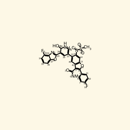 CNC(=O)c1c(-c2ccc(F)cc2)oc2cc(N(C)S(C)(=O)=O)c(C3=CNC(O)C(c4nc5c(F)cccc5o4)=C3)cc12